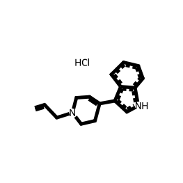 C=CCN1CC=C(c2c[nH]c3ccccc23)CC1.Cl